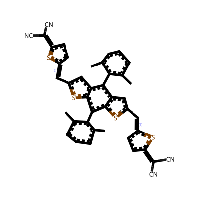 Cc1cccc(C)c1-c1c2cc(/C=c3\ccc(=C(C#N)C#N)s3)sc2c(-c2c(C)cccc2C)c2sc(/C=c3\ccc(=C(C#N)C#N)s3)cc12